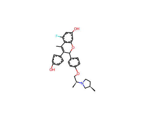 CC1=C(c2ccc(O)cc2)C(c2ccc(OC[C@H](C)N3CC[C@@H](C)C3)cc2)Oc2cc(O)cc(F)c21